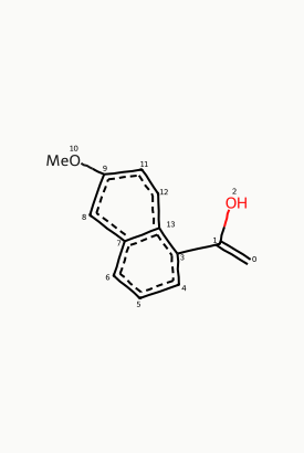 C=C(O)c1cccc2cc(OC)ccc12